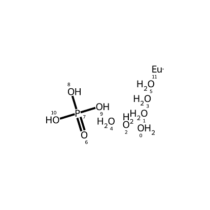 O.O.O.O.O.O.O=P(O)(O)O.[Eu]